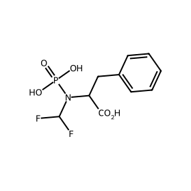 O=C(O)C(Cc1ccccc1)N(C(F)F)P(=O)(O)O